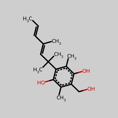 CC=C/C(C)=C/C(C)(C)c1c(C)c(O)c(CO)c(C)c1O